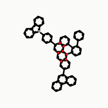 c1ccc(-c2ccccc2-c2c(-c3ccccc3)cccc2N(c2ccc(-c3ccc(-n4c5ccccc5c5ccccc54)cc3)cc2)c2ccc(-c3cc4ccccc4c4ccccc34)cc2)cc1